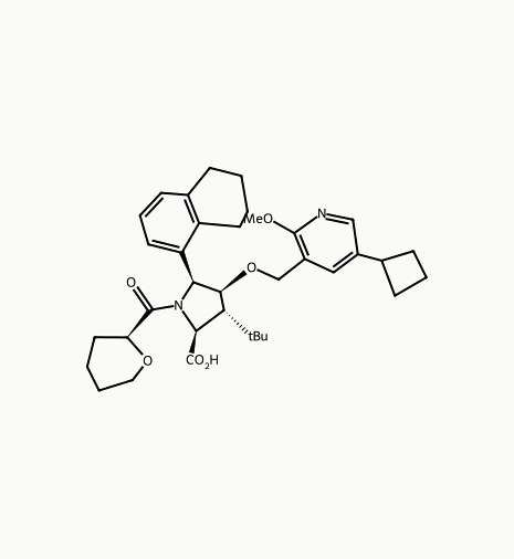 COc1ncc(C2CCC2)cc1CO[C@H]1[C@H](C(C)(C)C)[C@@H](C(=O)O)N(C(=O)[C@@H]2CCCCO2)[C@H]1c1cccc2c1CCCC2